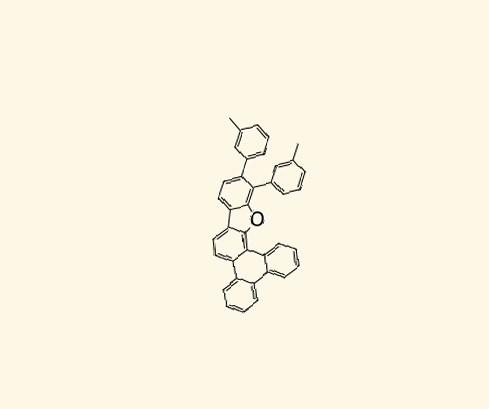 Cc1cccc(-c2ccc3c(oc4c3ccc3c5ccccc5c5ccccc5c34)c2-c2cccc(C)c2)c1